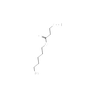 CC(C)CCCCCOC(=O)CCC(=O)O